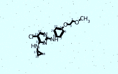 COCCOc1ccc(Nc2ncc(Cl)c(NC3CC3)n2)cc1